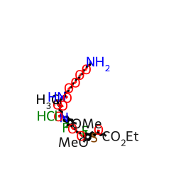 CCOC(=O)CCC(=O)c1cc2c(F)c(OCCCOc3c(OC)cc4c(c3F)CN(C(=O)CCC(=O)O[C@@H](C)CNC(=O)CCOCCOCCOCCOCCN)C4)c(OC)cc2s1.Cl